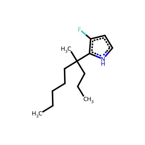 CCCCCC(C)(CCC)c1[nH]ccc1F